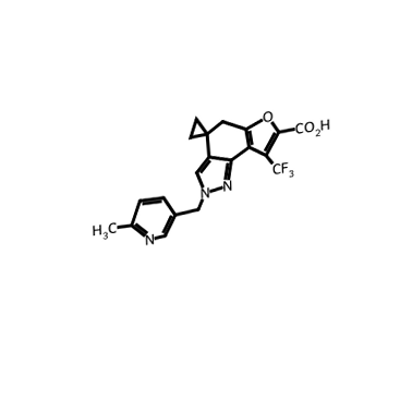 Cc1ccc(Cn2cc3c(n2)-c2c(oc(C(=O)O)c2C(F)(F)F)CC32CC2)cn1